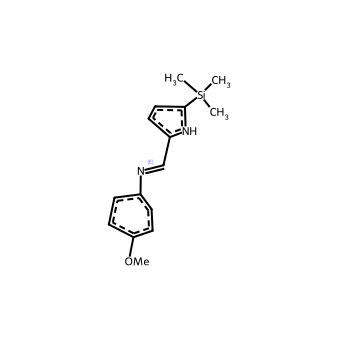 COc1ccc(/N=C/c2ccc([Si](C)(C)C)[nH]2)cc1